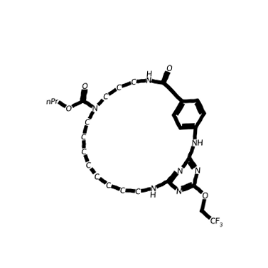 CCCOC(=O)N1CCCCCCCCNc2nc(nc(OCC(F)(F)F)n2)Nc2ccc(cc2)C(=O)NCCC1